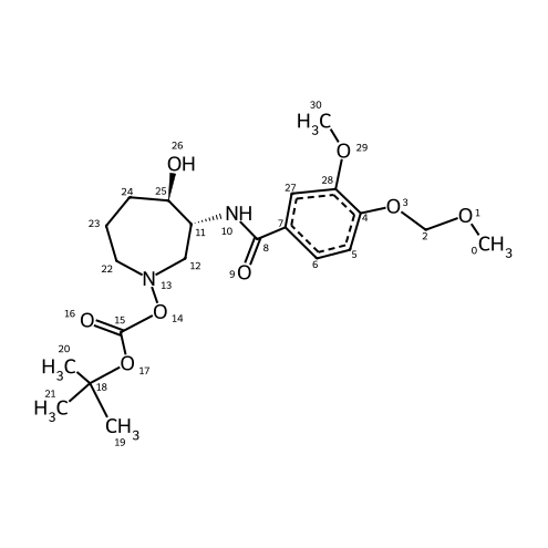 COCOc1ccc(C(=O)N[C@@H]2CN(OC(=O)OC(C)(C)C)CCC[C@H]2O)cc1OC